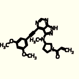 C=CC(=O)N1CCC(N(C)c2n[nH]c3ncnc(C#Cc4cc(OC)cc(OC)c4)c23)C1